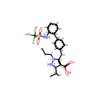 CCCN1NC(C(C)C)C(C(=O)O)=C1Cc1ccc(-c2ccccc2NS(=O)(=O)C(F)(F)F)cc1